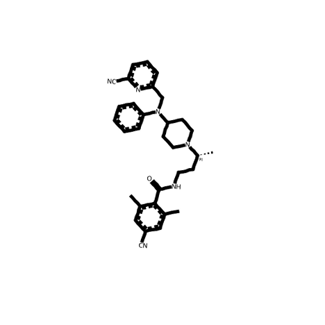 Cc1cc(C#N)cc(C)c1C(=O)NCC[C@@H](C)N1CCC(N(Cc2cccc(C#N)n2)c2ccccc2)CC1